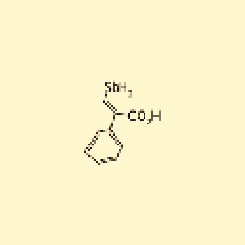 O=C(O)C(=[CH][SbH2])c1ccccc1